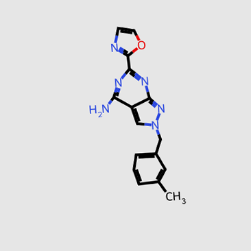 Cc1cccc(Cn2cc3c(N)nc(-c4ncco4)nc3n2)c1